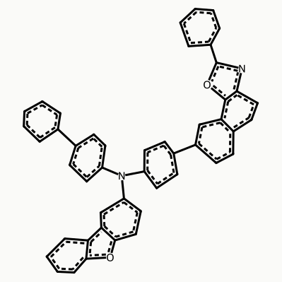 c1ccc(-c2ccc(N(c3ccc(-c4ccc5ccc6nc(-c7ccccc7)oc6c5c4)cc3)c3ccc4oc5ccccc5c4c3)cc2)cc1